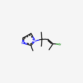 C/C(Br)=C\C(C)(C)n1ccnc1C